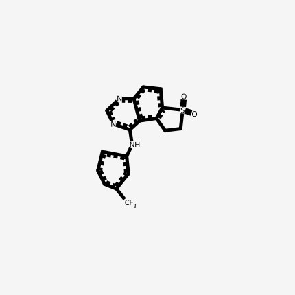 O=S1(=O)CCc2c1ccc1ncnc(Nc3cccc(C(F)(F)F)c3)c21